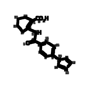 O=C(O)C1=C(NC(=O)c2ccc(-n3ccnc3)nn2)CCCC1